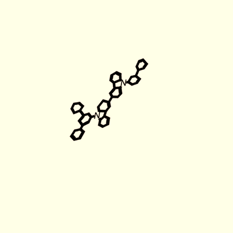 C1=CCC(C2=CC(N3C4CCC=CC4C4C=C(C5C=C6C(=CC5)N(C5CC=CC(C7C=CC=CC7)C5)C5C=CC=CC65)CCC43)CC(C3CCCCC3)=C2)C=C1